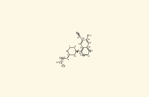 C[S+]([O-])NCC1CCCN(c2ncnc3cc(F)c(C#N)cc23)C1